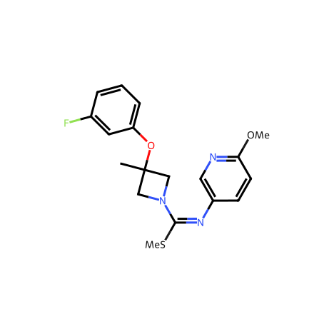 COc1ccc(N=C(SC)N2CC(C)(Oc3cccc(F)c3)C2)cn1